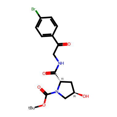 CC(C)(C)OC(=O)N1C[C@H](O)C[C@H]1C(=O)NCC(=O)c1ccc(Br)cc1